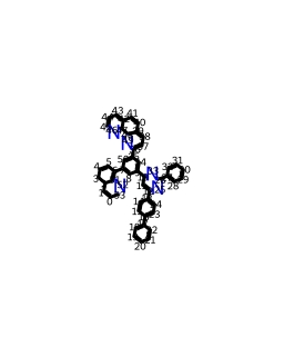 C1=CC2CC=CC(c3cc(-c4cc(-c5ccc(-c6ccccc6)cc5)nc(-c5ccccc5)n4)cc(-c4ccc5ccc6cccnc6c5n4)c3)=C2N=C1